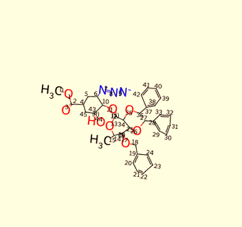 COC(=O)C1CC(N=[N+]=[N-])C(O[C@@H]2OC(C)[C@H](OCc3ccccc3)C(OCc3ccccc3)C2OCc2ccccc2)[C@H](O)C1